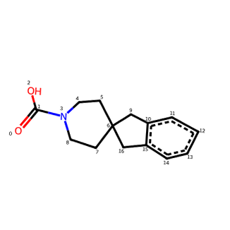 O=C(O)N1CCC2(CC1)Cc1ccccc1C2